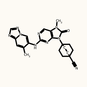 Cc1cc2ncnn2cc1Nc1ncc2c(n1)n(C13CCC(C#N)(CC1)CC3)c(=O)n2C